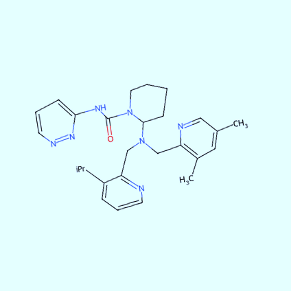 Cc1cnc(CN(Cc2ncccc2C(C)C)C2CCCCN2C(=O)Nc2cccnn2)c(C)c1